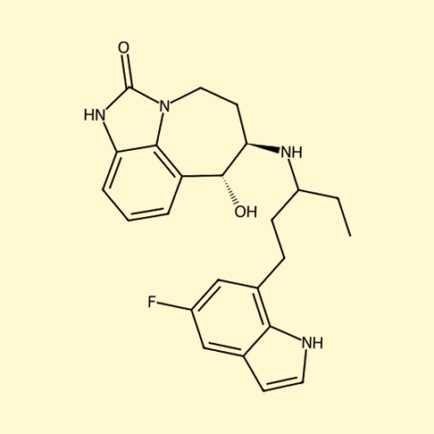 CCC(CCc1cc(F)cc2cc[nH]c12)N[C@@H]1CCn2c(=O)[nH]c3cccc(c32)[C@H]1O